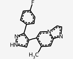 Cc1cc2nccn2cc1-c1c[nH]nc1-c1ccc(F)cc1